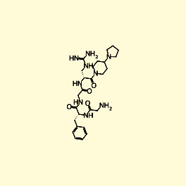 N=C(N)NC[C@@H](NC(=O)CNC(=O)[C@@H](Cc1ccccc1)NC(=O)CN)C(=O)N1CCC(N2CCCC2)CC1